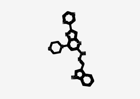 C(=NNc1cc(N2CCOCC2)n2nc(-c3cnccn3)cc2n1)c1c[nH]c2ccccc12